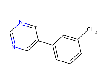 Cc1cccc(-c2[c]ncnc2)c1